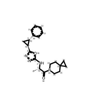 C[C@H](Nc1nnc([C@H]2C[C@@H]2c2ccccc2)o1)C(=O)N1CCC2(CC1)CC2